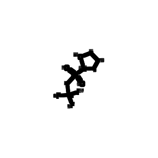 O=S(=O)(CC(F)(F)F)N1CCCO1